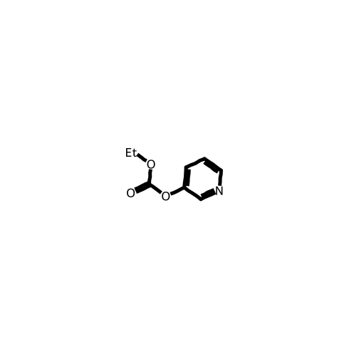 CCOC(=O)Oc1cccnc1